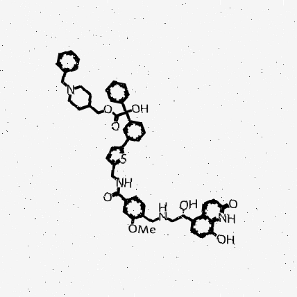 COc1cc(C(=O)NCc2ccc(-c3cccc(C(O)(C(=O)OCC4CCN(Cc5ccccc5)CC4)c4ccccc4)c3)s2)ccc1CNC[C@H](O)c1ccc(O)c2[nH]c(=O)ccc12